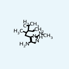 C=CC(C(C)C)C(C)Cc1nc(NC)ncc1N